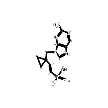 Nc1ncc2ncn(CC3(/C=C/P(=O)(O)O)CC3)c2n1